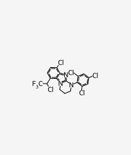 FC(F)(F)C(Cl)c1ccc(Cl)c2nc3n(c12)CCCN3c1c(Cl)cc(Cl)cc1Cl